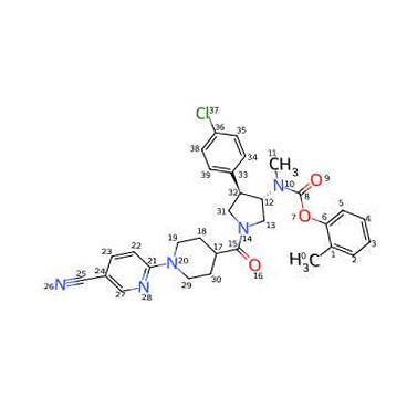 Cc1ccccc1OC(=O)N(C)[C@@H]1CN(C(=O)C2CCN(c3ccc(C#N)cn3)CC2)C[C@H]1c1ccc(Cl)cc1